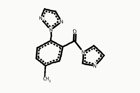 Cc1ccc(-n2nccn2)c(C(=O)n2ccnc2)c1